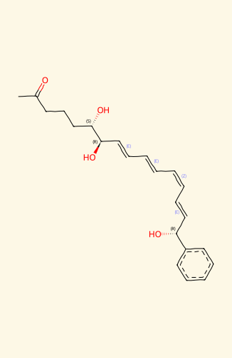 CC(=O)CCC[C@H](O)[C@H](O)/C=C/C=C/C=C\C=C\[C@@H](O)c1ccccc1